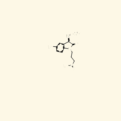 CCN(CC)CCCN1C(=O)C(=NOC)c2cc(Br)ccc21